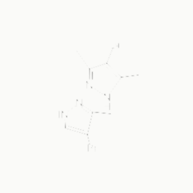 Cc1n[nH]c(C)c1Br.Cc1n[nH]cc1Br